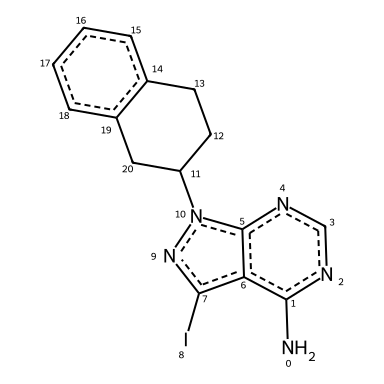 Nc1ncnc2c1c(I)nn2C1CCc2ccccc2C1